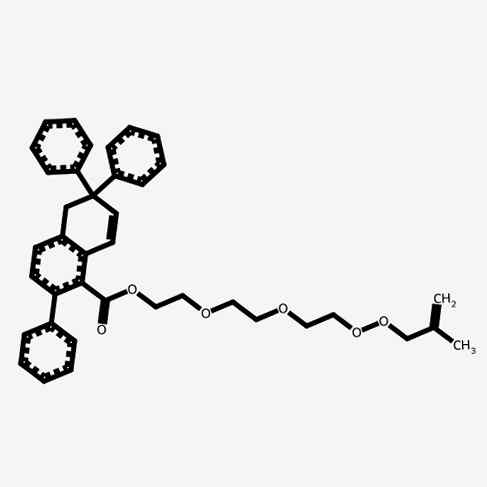 C=C(C)COOCCOCCOCCOC(=O)c1c(-c2ccccc2)ccc2c1C=CC(c1ccccc1)(c1ccccc1)C2